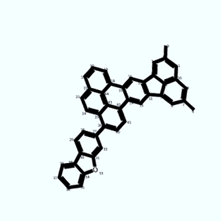 Cc1cc2c3c(cc(C)cc3c1)-c1cc3c(cc1-2)c1cccc2ccc4c(-c5ccc6c(c5)oc5ccccc56)ccc3c4c21